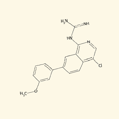 COc1cccc(-c2ccc3c(Cl)cnc(NC(=N)N)c3c2)c1